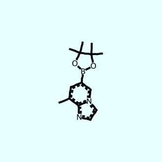 Cc1cc(B2OC(C)(C)C(C)(C)O2)cn2ccnc12